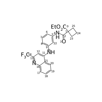 CCOC(=O)C1(C(=O)Nc2cccc(Nc3cc(C(F)(F)F)nc4ccccc34)c2)CCC1